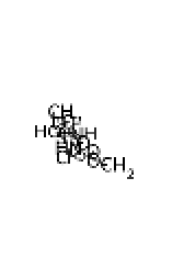 C=CCOC(=O)c1ccc(Cl)c(NC(=O)C2C[C@@H]([C@@H](C(=O)OCC=C)C(O)=S)CN2)c1